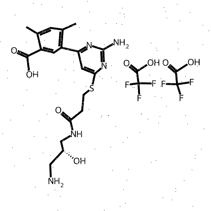 Cc1cc(C)c(-c2cc(SCCC(=O)NC[C@H](O)CN)nc(N)n2)cc1C(=O)O.O=C(O)C(F)(F)F.O=C(O)C(F)(F)F